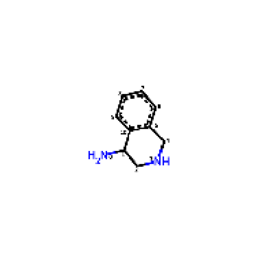 NC1CNCc2ccccc21